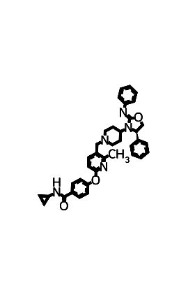 Cc1nc(Oc2ccc(C(=O)NC3CC3)cc2)ccc1CN1CCC(N2/C(=N/c3ccccc3)OC[C@H]2c2ccccc2)CC1